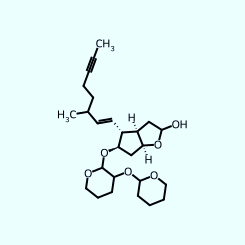 CC#CCCC(C)/C=C/[C@@H]1[C@H]2CC(O)O[C@H]2C[C@H]1OC1OCCCC1OC1CCCCO1